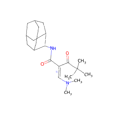 CN(C)/C=C(/C(=O)NC1C2CC3CC(C2)CC1C3)C(=O)C(C)(C)C